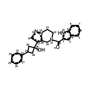 O=C(c1cc2ccccc2[nH]1)N1CCn2ncc(C3(O)CC(c4ccccc4)C3)c2C1